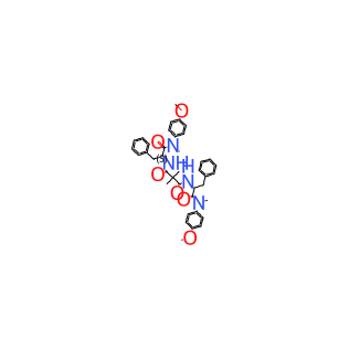 COc1ccc(N(C)C(=O)C(Cc2ccccc2)NC(=O)C(C)(C)C(=O)N[C@@H](Cc2ccccc2)C(=O)N(C)c2ccc(OC)cc2)cc1